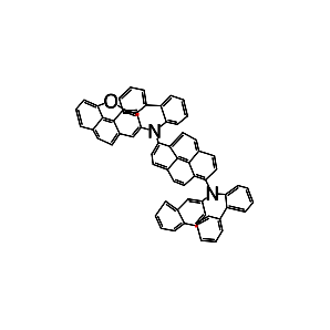 c1ccc(-c2ccccc2N(c2ccc3ccccc3c2)c2ccc3ccc4c(N(c5cc6ccc7cccc8oc(c5)c6c78)c5ccccc5-c5ccccc5)ccc5ccc2c3c54)cc1